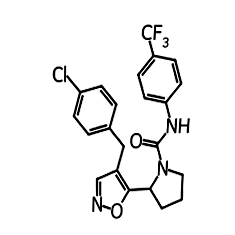 O=C(Nc1ccc(C(F)(F)F)cc1)N1CCCC1c1oncc1Cc1ccc(Cl)cc1